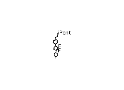 CCCC(C)CCCc1ccc(-c2ccc(C3CCC(C)CC3)c(F)c2F)cc1